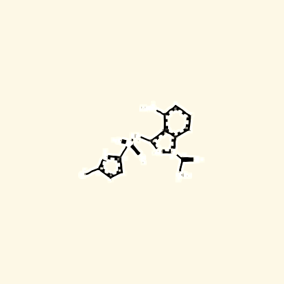 COc1cccc2c1c(NS(=O)(=O)c1ccc(Cl)s1)nn2C(=O)OCC(C)C